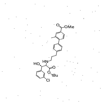 COC(=O)c1ccc(-c2ccc(CCCNC(C(=O)OC(C)(C)C)[C@H](O)c3cccc(Cl)c3)cc2)c(C)c1